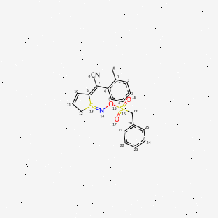 Cc1ccccc1/C(C#N)=C1/C=CC/S1=N/OS(=O)(=O)Cc1ccccc1